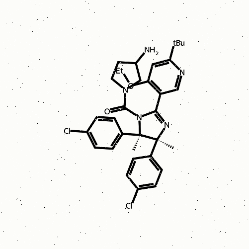 CCOc1cc(C(C)(C)C)ncc1C1=N[C@@](C)(c2ccc(Cl)cc2)[C@@](C)(c2ccc(Cl)cc2)N1C(=O)N1CCC(N)C1